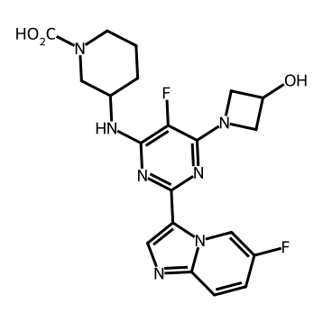 O=C(O)N1CCCC(Nc2nc(-c3cnc4ccc(F)cn34)nc(N3CC(O)C3)c2F)C1